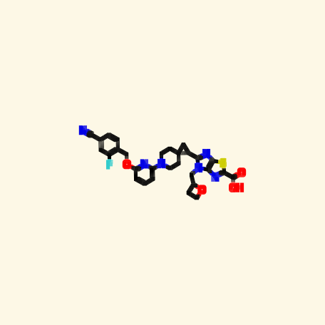 N#Cc1ccc(COc2cccc(N3CCC4(CC3)CC4c3nc4sc(C(=O)O)nc4n3CC3CCO3)n2)c(F)c1